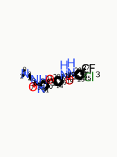 CN(C)CCNC(=O)c1cc(Oc2cccc(NC(=O)Nc3ccc(Cl)c(C(F)(F)F)c3)c2)ccn1